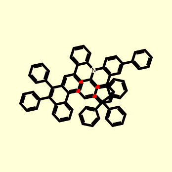 c1ccc(-c2ccc(N(c3ccccc3-c3ccc4c(c3)c(-c3ccccc3)c(-c3ccccc3)c3ccccc34)c3cccc4c3-c3ccccc3C4(c3ccccc3)c3ccccc3)c(-c3ccccc3)c2)cc1